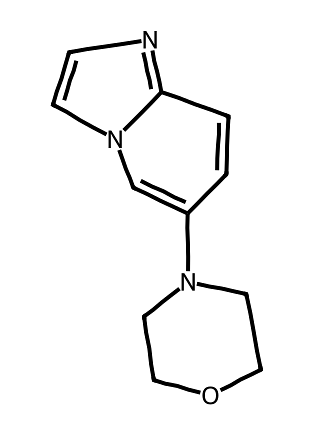 c1cn2cc(N3CCOCC3)ccc2n1